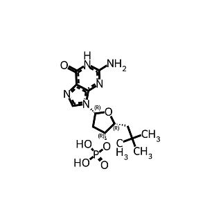 CC(C)(C)C[C@H]1O[C@@H](n2cnc3c(=O)[nH]c(N)nc32)C[C@H]1OP(=O)(O)O